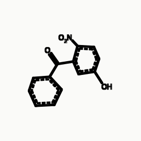 O=C(c1ccccc1)c1cc(O)ccc1[N+](=O)[O-]